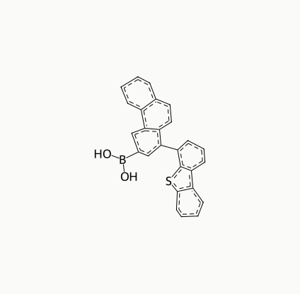 OB(O)c1cc(-c2cccc3c2sc2ccccc23)c2ccc3ccccc3c2c1